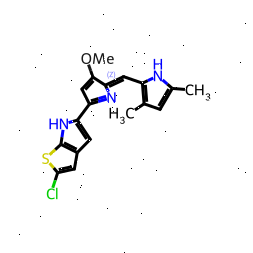 COC1=CC(c2cc3cc(Cl)sc3[nH]2)=N/C1=C\c1[nH]c(C)cc1C